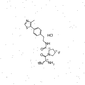 Cc1ncsc1-c1ccc(CCNC(=O)[C@@H]2C[C@H](F)CN2C(=O)[C@@H](N)C(C)(C)C)cc1.Cl